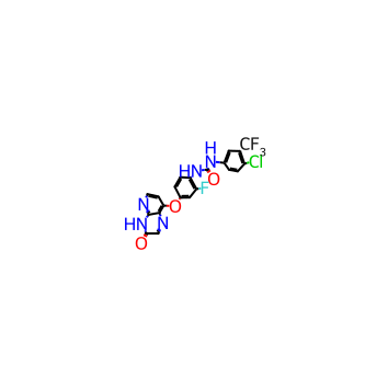 O=C(Nc1ccc(Cl)c(C(F)(F)F)c1)Nc1ccc(Oc2ccnc3[nH]c(=O)cnc23)cc1F